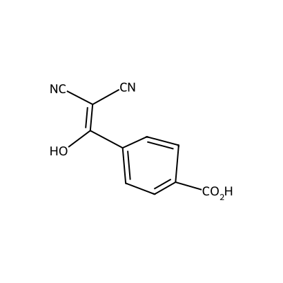 N#CC(C#N)=C(O)c1ccc(C(=O)O)cc1